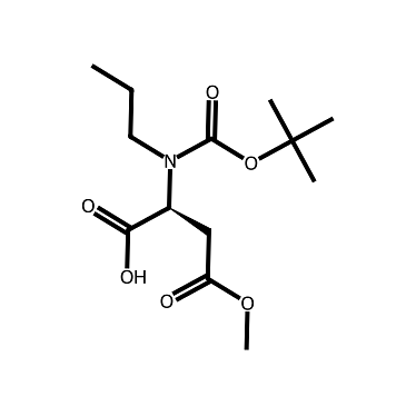 CCCN(C(=O)OC(C)(C)C)[C@@H](CC(=O)OC)C(=O)O